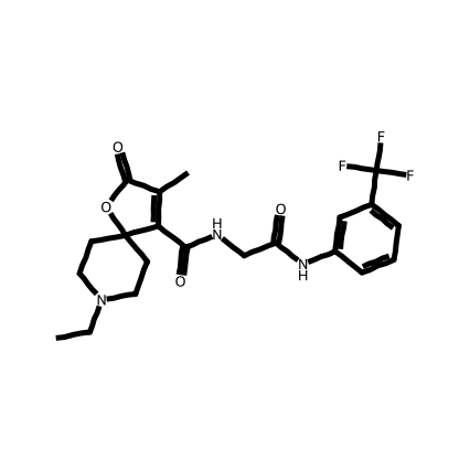 CCN1CCC2(CC1)OC(=O)C(C)=C2C(=O)NCC(=O)Nc1cccc(C(F)(F)F)c1